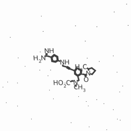 CC1CCCN1C(=O)c1ccc(C#CCNc2ccc(C(=N)N)cc2)cc1CN(C)CC(=O)O